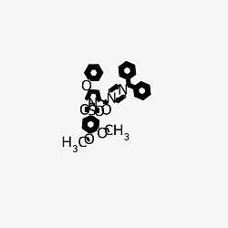 COc1ccc(S(=O)(=O)N2C[C@@H](Oc3ccccc3)C[C@H]2C(=O)N2CCN(C(c3ccccc3)c3ccccc3)CC2)cc1OC